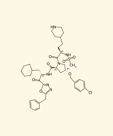 CS(=O)(=O)N[C@H](CCC1CCNCC1)C(=O)N1C[C@H](OCc2ccc(Cl)cc2)C[C@H]1C(=O)N[C@@H](CC1CCCCC1)C(=O)c1nnc(Cc2ccccc2)o1